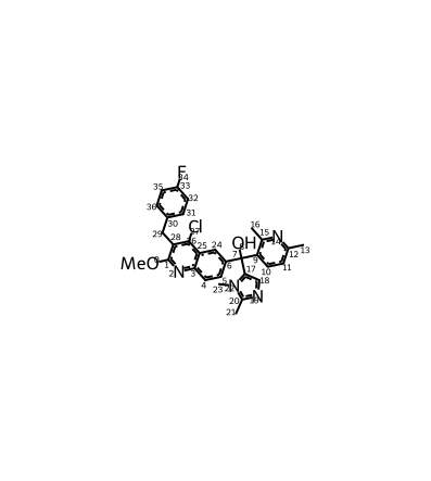 COc1nc2ccc(C(O)(c3ccc(C)nc3C)c3cnc(C)n3C)cc2c(Cl)c1Cc1ccc(F)cc1